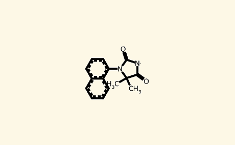 CC1(C)C(=O)[N]C(=O)N1c1cccc2ccccc12